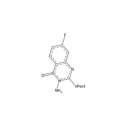 CCCCCc1nc2cc(F)ccc2c(=O)n1N